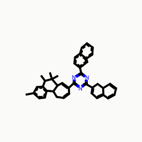 Cc1ccc2c(c1)C(C)C(C)(C)C1C=C(c3nc(C4=CC=C5C=CC=CC5C4)nc(-c4ccc5ccccc5c4)n3)C=CCC21